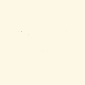 COc1ccc(CC(C(N)=O)c2nc(-c3ccc(OC)cc3F)cs2)cc1